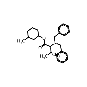 CC1CCCC(OC(=O)[C@H](C(C)C)N(Cc2ccccc2)Cc2ccccc2)C1